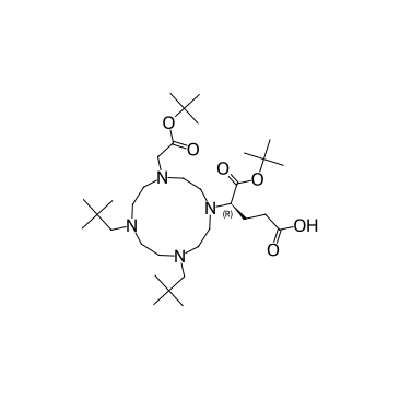 CC(C)(C)CN1CCN(CC(=O)OC(C)(C)C)CCN([C@H](CCC(=O)O)C(=O)OC(C)(C)C)CCN(CC(C)(C)C)CC1